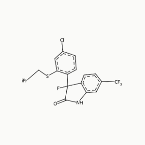 CC(C)CSc1cc(Cl)ccc1C1(F)C(=O)Nc2cc(C(F)(F)F)ccc21